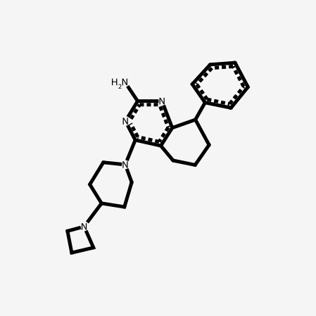 Nc1nc2c(c(N3CCC(N4CCC4)CC3)n1)CCCC2c1ccccc1